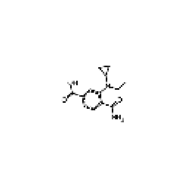 CCN(c1cc(C(=O)O)ccc1C(N)=O)C1CC1